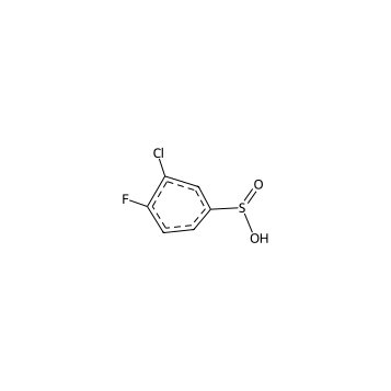 O=S(O)c1ccc(F)c(Cl)c1